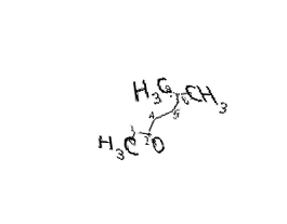 CCC(=O)CC[C](C)C